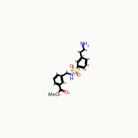 COC(=O)c1cccc(CNS(=O)(=O)c2cccc(CCN)c2)c1